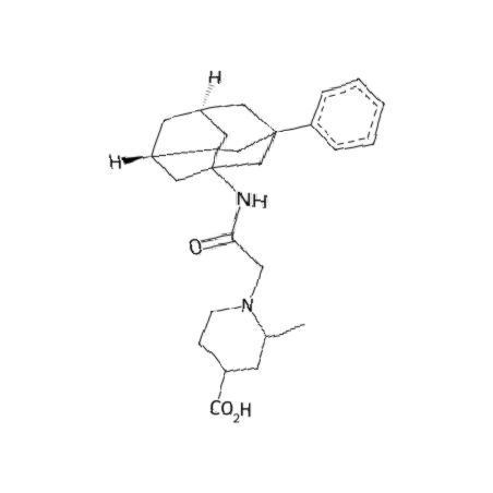 CC1CC(C(=O)O)CCN1CC(=O)NC12C[C@H]3C[C@@H](C1)CC(c1ccccc1)(C3)C2